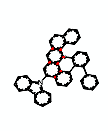 c1ccc(-c2ccccc2-c2c(-c3ccccc3)cccc2N(c2ccc(-n3c4ccccc4c4ccccc43)cc2)c2cccc3ccccc23)cc1